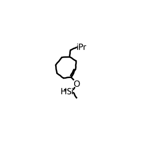 CC(C)CC1CC=C(O[SiH](C)C)CCCC1